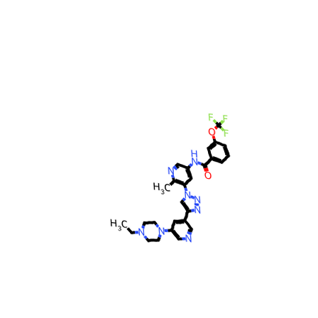 CCN1CCN(c2cncc(-c3cn(-c4cc(NC(=O)c5cccc(OC(F)(F)F)c5)cnc4C)nn3)c2)CC1